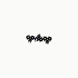 CCC1(CC)C2=C(CCC=C2)c2ccc(/C(C)=C/C3=C(C)c4ccc(C5=CC6=C(CC5)c5ccccc5C6(CC)CC)cc4C3(CC)CC)cc21